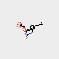 O=c1nc(OCC2COCCO2)cc2n1CCc1cc(C#CC3CC3)ccc1-2